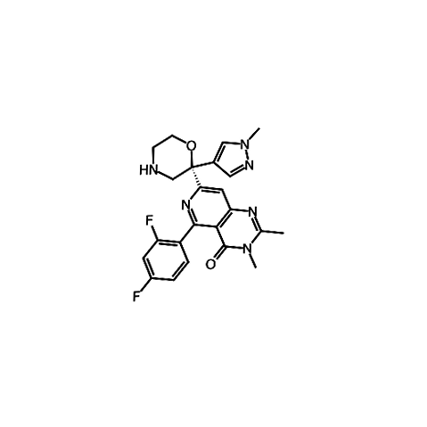 Cc1nc2cc([C@]3(c4cnn(C)c4)CNCCO3)nc(-c3ccc(F)cc3F)c2c(=O)n1C